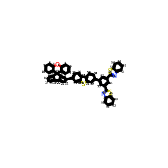 c1ccc2c(c1)Oc1ccccc1C21c2ccccc2-c2ccc(-c3ccc4c(c3)sc3cc(-c5cc(-c6nc7ccccc7s6)cc(-c6nc7ccccc7s6)c5)ccc34)cc21